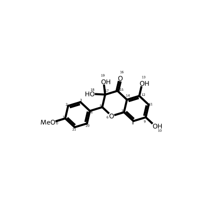 COc1ccc(C2Oc3cc(O)cc(O)c3C(=O)C2(O)O)cc1